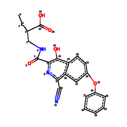 CCC(CNC(=O)c1nc(C#N)c2cc(Oc3ccccc3)ccc2c1O)C(=O)O